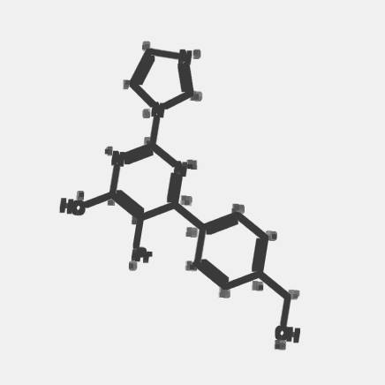 CC(C)c1c(O)nc(-n2ccnc2)nc1-c1ccc(CO)cc1